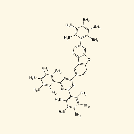 Bc1c(B)c(B)c(-c2ccc3c(c2)oc2ccc(-c4nc(-c5c(B)c(B)c(B)c(B)c5B)nc(-c5c(B)c(B)c(B)c(B)c5B)n4)cc23)c(B)c1B